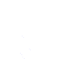 CCCc1cc2c(s1)-n1c(C)nnc1CN=C2c1ccccc1Cl